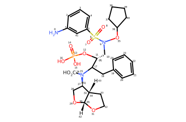 Nc1cccc(S(=O)(=O)N(C[C@@H](OP(=O)(O)O)C(Cc2ccccc2)N(C(=O)O)[C@@H]2CO[C@H]3OCC[C@H]32)OC2CCCC2)c1